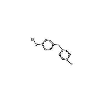 CCOc1ccc(Cc2ccc(F)cc2)cc1